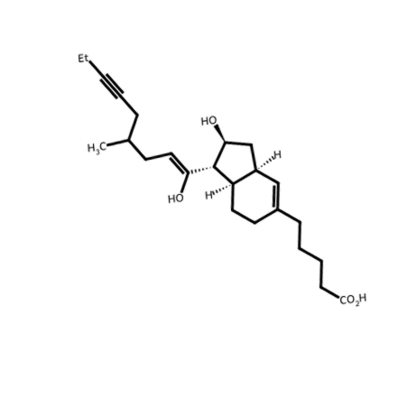 CCC#CCC(C)CC=C(O)[C@H]1[C@@H]2CCC(CCCCC(=O)O)=C[C@@H]2C[C@@H]1O